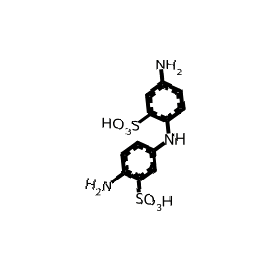 Nc1ccc(Nc2ccc(N)c(S(=O)(=O)O)c2)c(S(=O)(=O)O)c1